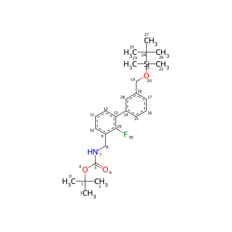 CC(C)(C)OC(=O)NCc1cccc(-c2cccc(CO[Si](C)(C)C(C)(C)C)c2)c1F